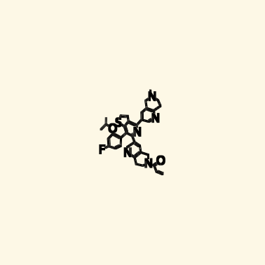 C=CC(=O)N1CCc2ncc(-c3nc(-c4cnc5c(c4)CN(C)CC5)c4ccsc4c3-c3ccc(F)cc3OC(C)C)cc2C1